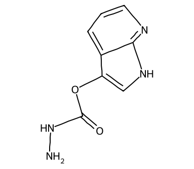 NNC(=O)Oc1c[nH]c2ncccc12